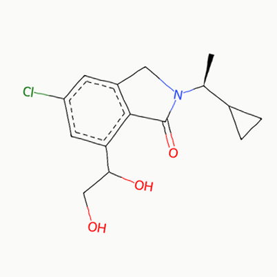 C[C@@H](C1CC1)N1Cc2cc(Cl)cc(C(O)CO)c2C1=O